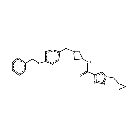 O=C(NC1CN(Cc2ccc(OCc3ccccn3)cc2)C1)c1cn(CC2CC2)nn1